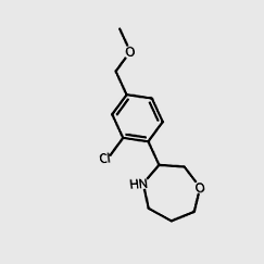 COCc1ccc(C2COCCCN2)c(Cl)c1